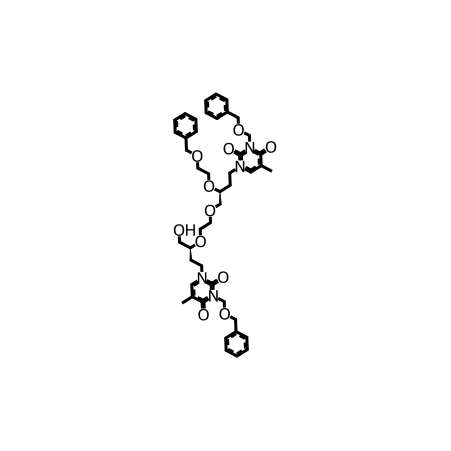 Cc1cn(CC[C@@H](CO)OCCOC[C@H](CCn2cc(C)c(=O)n(COCc3ccccc3)c2=O)OCCOCc2ccccc2)c(=O)n(COCc2ccccc2)c1=O